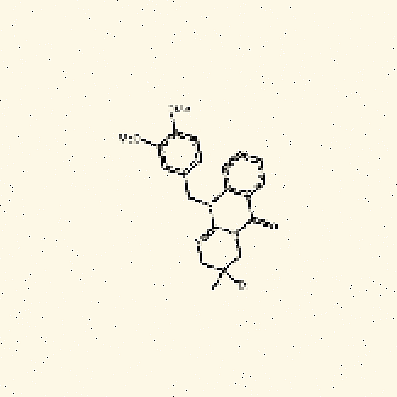 CCC1(C)CN=C2N(C1)C(=O)c1ccccc1N2Cc1ccc(OC)c(OC)c1